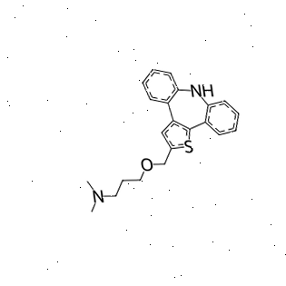 CN(C)CCCOCc1cc2c(s1)-c1ccccc1Nc1ccccc1-2